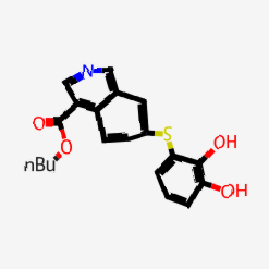 CCCCOC(=O)c1cncc2cc(Sc3cccc(O)c3O)ccc12